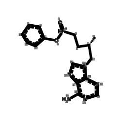 C[C@@H](CC[PH](=O)Oc1ccccc1)Cn1cnc2c(N)ncnc21